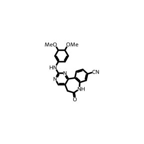 COC1C=CC(Nc2ncc3c(n2)-c2ccc(C#N)cc2NC(=O)C3)=CC1OC